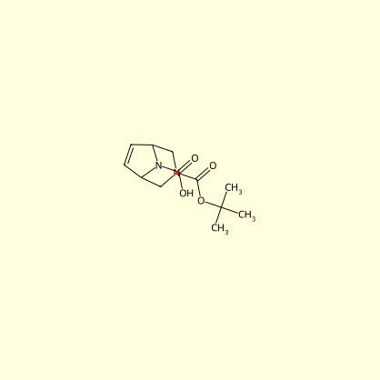 CC(C)(C)OC(=O)N1CC2C=CC(C1)N2C(=O)O